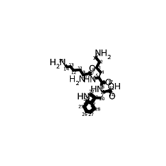 NCCCC[C@H](NC(=O)[C@@H](N)CCCCN)C(=O)N[C@@H](Cc1c[nH]c2ccccc12)C(=O)O